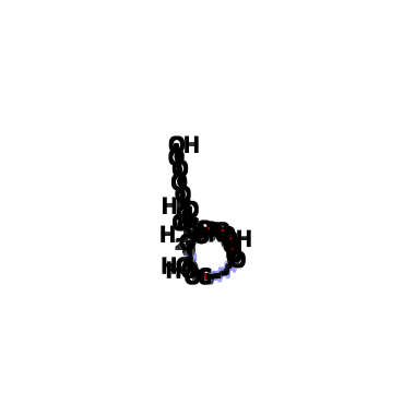 CO[C@H]1C[C@@H]2CC[C@@H](C)[C@@](O)(O2)C(=O)C(=O)N2CCCC[C@H]2C(=O)O[C@H]([C@H](N)C[C@@H]2CC[C@@H](OC(=O)NCCOCCOCCOCCOCCO)[C@H](OC)C2)CC(=O)[C@H](C)/C=C(\C)[C@@H](O)[C@@H](O)C(=O)[C@H](C)C[C@H](C)/C=C/C=C/C=C/1C